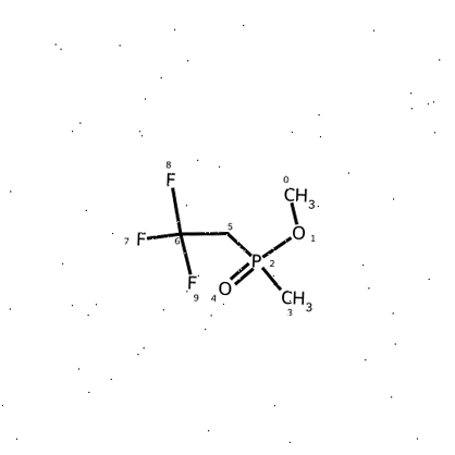 COP(C)(=O)CC(F)(F)F